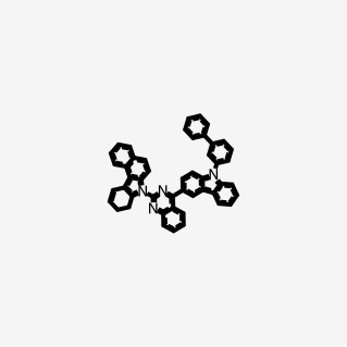 C1=Cc2c(n(-c3nc(-c4ccc5c(c4)c4ccccc4n5-c4cccc(-c5ccccc5)c4)c4ccccc4n3)c3ccc4ccccc4c23)CC1